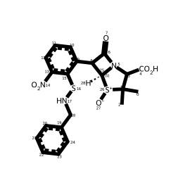 CC1(C)C(C(=O)O)N2C(=O)C(c3cccc([N+](=O)[O-])c3SNCc3ccccc3)[C@@H]2[S+]1[O-]